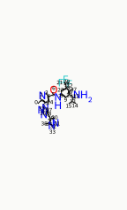 Cc1ncc(C(=O)Nc2cc(C(N)C(C)C)c(C)c(C(F)(F)F)c2)cc1-n1cc(-c2cnn(C)c2C)nn1